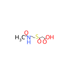 CC(=O)NCCSC(=O)CC(=O)O